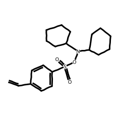 C=Cc1ccc(S(=O)(=O)ON(C2CCCCC2)C2CCCCC2)cc1